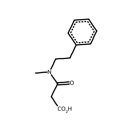 CN(CCc1ccccc1)C(=O)CC(=O)O